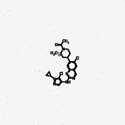 CC(=O)N1CCC(c2cc3nc(Nc4cnn(C5CC5)c4Cl)ncc3cc2Cl)C[C@@H]1C